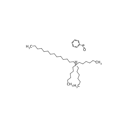 CCCCCCCCCCCCCC[PH](CCCCCC)(CCCCCC)CCCCCC.O=Pc1ccccc1